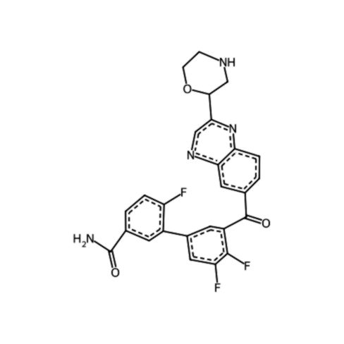 NC(=O)c1ccc(F)c(-c2cc(F)c(F)c(C(=O)c3ccc4nc(C5CNCCO5)cnc4c3)c2)c1